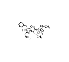 CNC(=O)CNC(=O)C(CC(C)C)NC(=O)C(Cc1ccccc1)NC(=O)CN